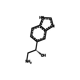 NC[C@@H](O)c1ccc2[nH]cnc2c1